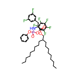 CCCCCCCCCC(CCCCCCCCC)COC(=O)[C@H](Cc1cc(F)cc(F)c1)N[P@](=O)(Oc1ccccc1)Oc1c(F)c(F)c(F)c(F)c1F